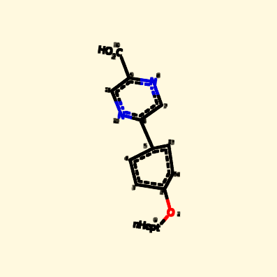 CCCCCCCOc1ccc(-c2cnc(C(=O)O)cn2)cc1